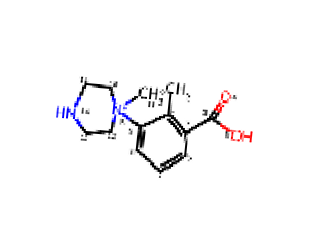 Cc1c(C(=O)O)cccc1[N+]1(C)CCNCC1